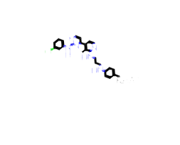 CC(=O)NCc1ccc(NCCCNc2nccc(-c3ccnc(Nc4cccc(Cl)c4)n3)c2C)cc1